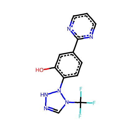 Oc1cc(-c2ncccn2)ccc1N1NN=CN1C(F)(F)F